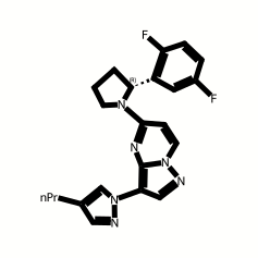 CCCc1cnn(-c2cnn3ccc(N4CCC[C@@H]4c4cc(F)ccc4F)nc23)c1